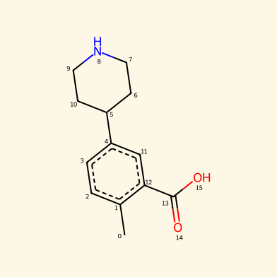 Cc1ccc(C2CCNCC2)cc1C(=O)O